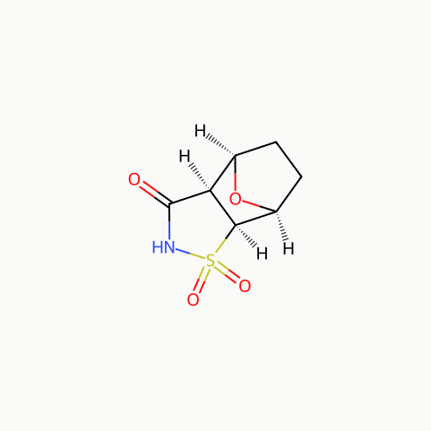 O=C1NS(=O)(=O)[C@H]2[C@@H]1[C@H]1CC[C@@H]2O1